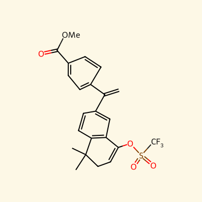 C=C(c1ccc(C(=O)OC)cc1)c1ccc2c(c1)C(OS(=O)(=O)C(F)(F)F)=CCC2(C)C